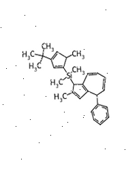 CC1=CC2=C(C=CC=CC2c2ccccc2)C1[Si](C)(C)C1=CC(C(C)(C)C)=CC1C